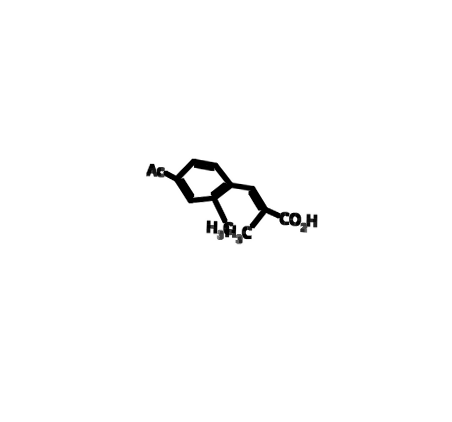 CC(=O)c1ccc(C=C(C)C(=O)O)c(C)c1